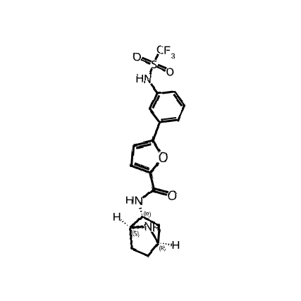 O=C(N[C@@H]1C[C@H]2CC[C@@H]1N2)c1ccc(-c2cccc(NS(=O)(=O)C(F)(F)F)c2)o1